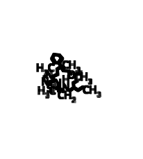 C=C(NCC(CCC)CCC)/C(C)=N/c1c(S)ncnc1CCC(C)(CCO)C1=CCCC=C1C